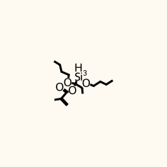 C=C(C)C(=O)OC([SiH3])(OCCCC)C(C)OCCCC